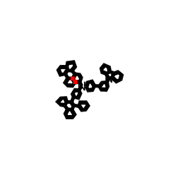 c1ccc(-c2c(-c3ccc(N(c4ccc(-c5cccc(-n6c7ccccc7c7ccccc76)c5)cc4)c4ccc(-c5cccc6cccc(-c7ccccc7)c56)cc4)cc3)c3ccccc3c3ccccc23)cc1